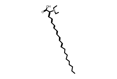 CCCCCCCCCC=CC=CC=CC=CC=CC=C(C(=O)O)N(CC)CC